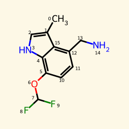 Cc1c[nH]c2c(OC(F)F)ccc(CN)c12